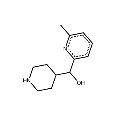 Cc1cccc(C(O)C2CCNCC2)n1